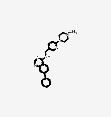 CN1CCN(c2ccc(CNc3ncnc4cc(-c5ccccc5)ccc34)cn2)CC1